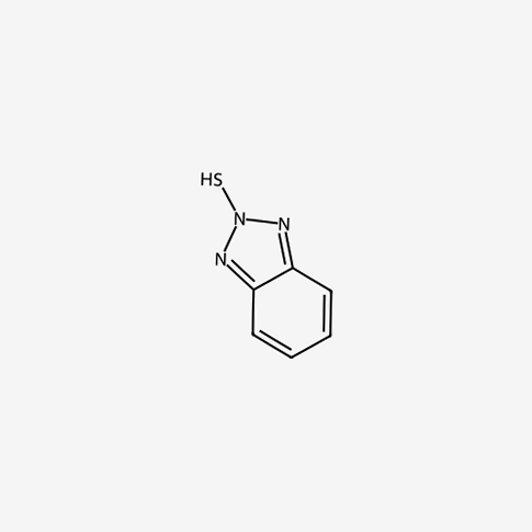 Sn1nc2ccccc2n1